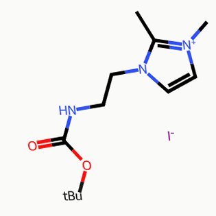 Cc1n(CCNC(=O)OC(C)(C)C)cc[n+]1C.[I-]